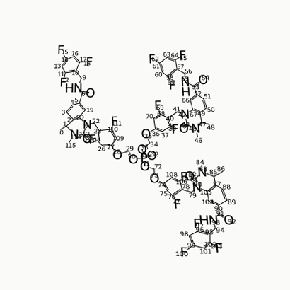 CC1c2ccc(C(=O)NCc3c(F)cc(F)cc3F)cc2N(Cc2c(F)cc(OCOP(=O)(OCOc3cc(F)c(CN4C(=O)N(C)C(C)c5ccc(C(=O)NCc6c(F)cc(F)cc6F)cc54)c(F)c3)OCOc3cc(F)c(CN4C(=O)N(C)C(C)c5ccc(C(=O)NCc6c(F)cc(F)cc6F)cc54)c(F)c3)cc2F)C(=O)N1C